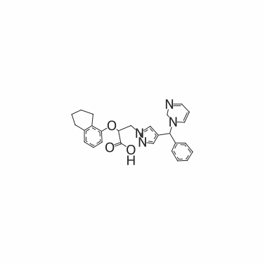 O=C(O)C(Cn1cc(C(c2ccccc2)N2C=CC=NC2)cn1)Oc1cccc2c1CCCC2